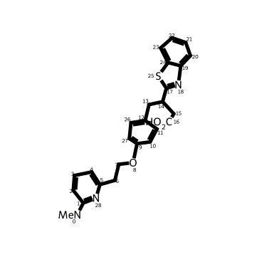 CNc1cccc(CCOc2ccc(CC(CC(=O)O)c3nc4ccccc4s3)cc2)n1